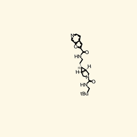 CC(C)(C)CNC(=O)N1C[C@@H]2[C@@H](CCNC(=O)c3cc4ccncc4o3)[C@@H]2C1